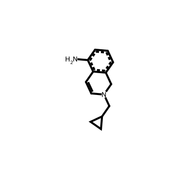 Nc1cccc2c1C=CN(CC1CC1)C2